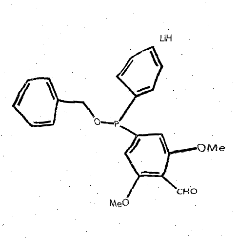 COc1cc(P(OCc2ccccc2)c2ccccc2)cc(OC)c1C=O.[LiH]